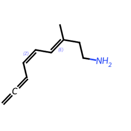 C=C=C/C=C\C=C(/C)CCN